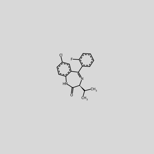 CC(C)[C@@H]1N=C(c2ccccc2F)c2cc(Cl)ccc2NC1=O